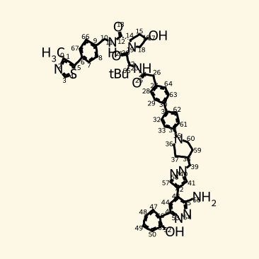 Cc1ncsc1-c1ccc(CNC(=O)[C@@H]2C[C@@H](O)CN2C(=O)[C@@H](NC(=O)Cc2ccc(-c3ccc(N4CCC(Cn5cc(-c6cc(-c7ccccc7O)nnc6N)cn5)CC4)cc3)cc2)C(C)(C)C)cc1